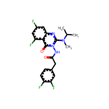 CC(C)N(C)c1nc2cc(F)cc(F)c2c(=O)n1NC(=O)Cc1ccc(F)c(F)c1